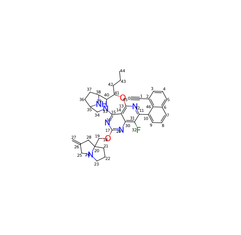 C#Cc1cccc2cccc(-c3nc4c5c(nc(OCC67CCCN6CC(=C)C7)nc5c3F)N3CC5CCC(N5)C3C(CCC)O4)c12